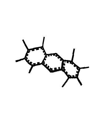 Cc1c(C)c(C)c2cc3c(C)c(C)c(C)c(C)c3cc2c1C